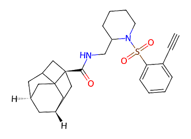 C#Cc1ccccc1S(=O)(=O)N1CCCCC1CNC(=O)[C@]12CC3C[C@@H]4C[C@H](CC31C4)C2